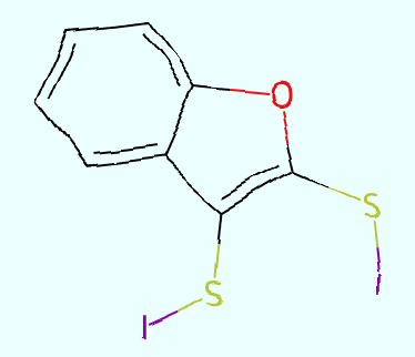 ISc1oc2ccccc2c1SI